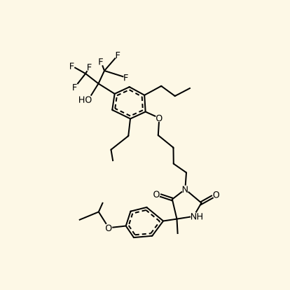 CCCc1cc(C(O)(C(F)(F)F)C(F)(F)F)cc(CCC)c1OCCCCN1C(=O)NC(C)(c2ccc(OC(C)C)cc2)C1=O